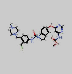 COC(=O)Nc1cc(Oc2ccc3c(c2)CCN3C(=O)Nc2ccc(CN3CCN(C)CC3)c(CF)c2)ncn1